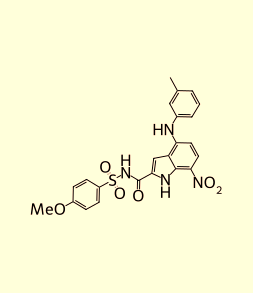 COc1ccc(S(=O)(=O)NC(=O)c2cc3c(Nc4cccc(C)c4)ccc([N+](=O)[O-])c3[nH]2)cc1